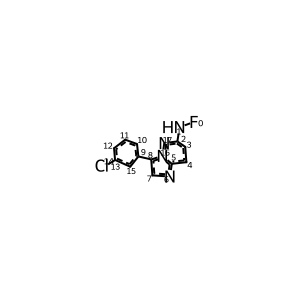 FNc1ccc2ncc(-c3cccc(Cl)c3)n2n1